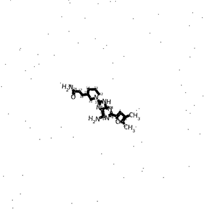 Cc1cc(-c2nc(N)c3nc(N4CCCC(CCC(N)=O)C4)[nH]c3n2)oc1C